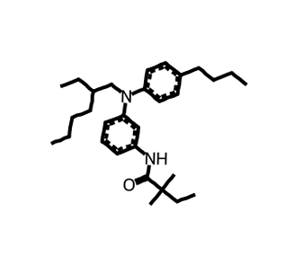 CCCCc1ccc(N(CC(CC)CCCC)c2cccc(NC(=O)C(C)(C)CC)c2)cc1